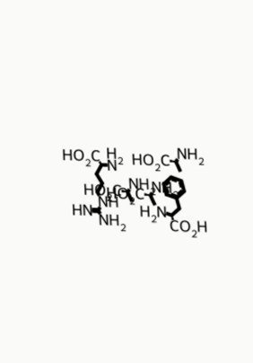 C[C@H](N)C(=O)O.C[C@H](N)C(=O)O.C[C@H](N)C(=O)O.N=C(N)NCCC[C@H](N)C(=O)O.N[C@@H](Cc1ccccc1)C(=O)O